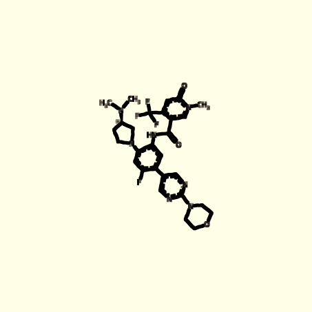 CN(C)[C@@H]1CCN(c2cc(F)c(-c3cnc(N4CCOCC4)nc3)cc2NC(=O)c2cn(C)c(=O)cc2C(F)(F)F)C1